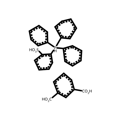 O=C(O)c1cccc(C(=O)O)c1.O=S(=O)(O)c1ccccc1[PH](c1ccccc1)(c1ccccc1)c1ccccc1